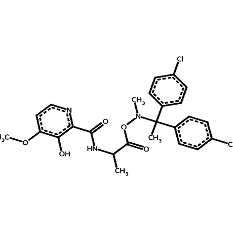 COc1ccnc(C(=O)NC(C)C(=O)ON(C)C(C)(c2ccc(Cl)cc2)c2ccc(Cl)cc2)c1O